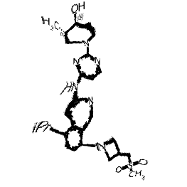 CC(C)c1ccc(N2CC(CS(C)(=O)=O)C2)c2cnc(Nc3ccnc(N4CC[C@H](O)[C@@H](C)C4)n3)cc12